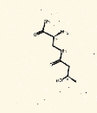 C[C@@H](O)CC(=O)NC[C@H](N)C(=O)O